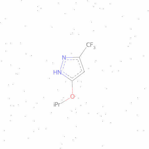 CC(C)Oc1cc(C(F)(F)F)n[nH]1